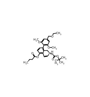 CCCC(=O)Oc1ccc(-c2c(OC)cc(COCC)cc2OC)c2c1C=CN(NC(=O)OC(C)(C)C)C2